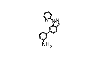 Nc1cccc(-c2ccc3cnn(-c4ccccn4)c3c2)c1